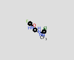 O=C(N[C@H]1CC[C@@H](CNc2nc(C(F)(F)F)nc3ccc(Cl)cc23)CC1)c1ccc(F)cc1